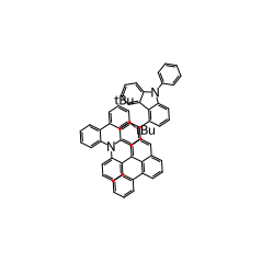 CC(C)(C)c1cc(-c2ccccc2N(c2ccc(-c3cccc4c3c3ccccc3n4-c3ccccc3)cc2)c2ccccc2-c2cccc3cccc(-c4ccccc4)c23)cc(C(C)(C)C)c1